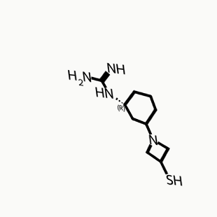 N=C(N)N[C@@H]1CCCC(N2CC(S)C2)C1